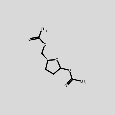 CC(=O)OC[C@@H]1CCC(OC(C)=O)O1